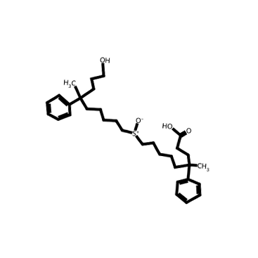 CC(CCCO)(CCCCC[S+]([O-])CCCCCC(C)(CCC(=O)O)c1ccccc1)c1ccccc1